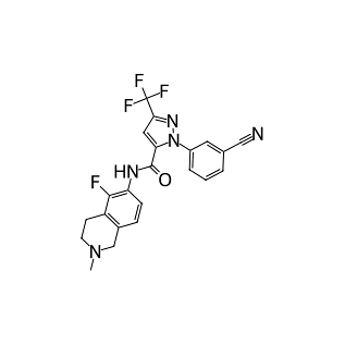 CN1CCc2c(ccc(NC(=O)c3cc(C(F)(F)F)nn3-c3cccc(C#N)c3)c2F)C1